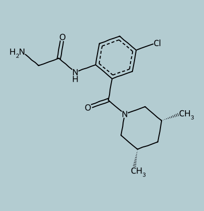 C[C@@H]1C[C@H](C)CN(C(=O)c2cc(Cl)ccc2NC(=O)CN)C1